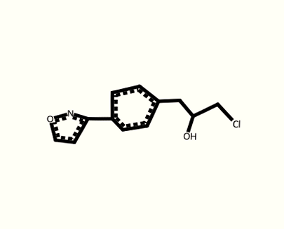 OC(CCl)Cc1ccc(-c2ccon2)cc1